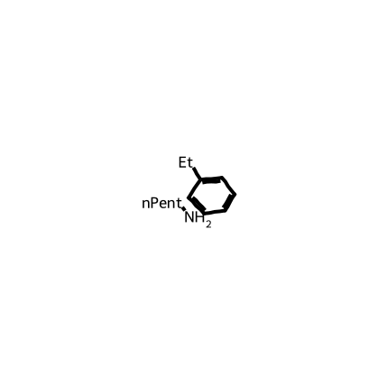 CCCCCN.CCc1ccccc1